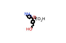 CC(=O)O.NCC1CCC(C(=O)c2ccc(CCCO)cc2)CC1